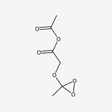 CC(=O)OC(=O)COC1(C)OO1